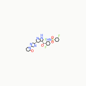 O=C(c1c(F)ccc(NS(=O)(=O)c2cccc(F)c2)c1F)c1c[nH]c2ncc(-c3cnc(-n4ccccc4=O)cn3)cc12